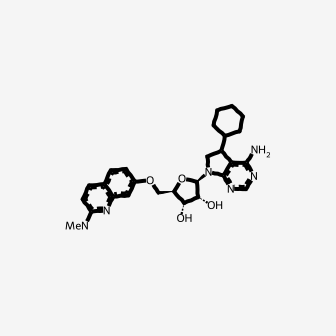 CNc1ccc2ccc(OC[C@H]3O[C@@H](N4CC(C5CCCCC5)c5c(N)ncnc54)[C@H](O)[C@@H]3O)cc2n1